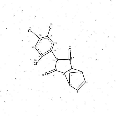 O=C1C2C3C=CC(C3)C2C(=O)N1c1cc(Cl)c(Cl)cc1Cl